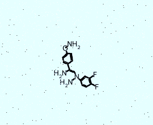 NOc1ccc(/C(N)=C/N(N)c2ccc(F)c(F)c2)cc1